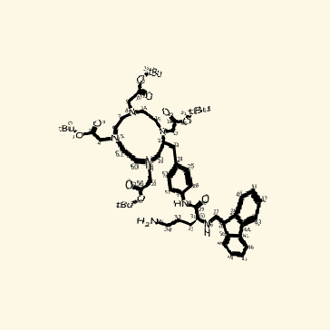 CC(C)(C)OC(=O)CN1CCN(CC(=O)OC(C)(C)C)CCN(CC(=O)OC(C)(C)C)C(Cc2ccc(NC(=O)[C@H](CCCN)NCC3c4ccccc4-c4ccccc43)cc2)CN(CC(=O)OC(C)(C)C)CC1